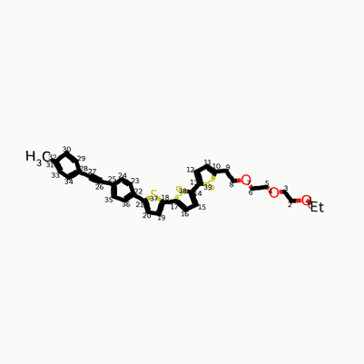 CCOCCOCCOCCc1ccc(-c2ccc(-c3ccc(-c4ccc(C#Cc5ccc(C)cc5)cc4)s3)s2)s1